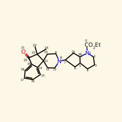 CCOC(=O)N1CCCC2CC(N3CCC4(CC3)c3ccccc3C(=O)C4(C)C)CC21